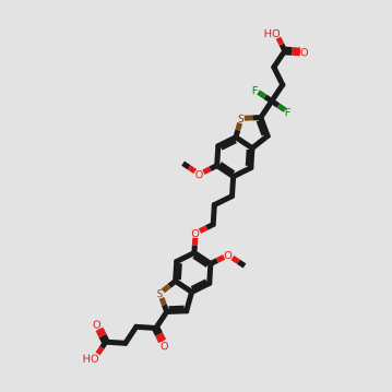 COc1cc2sc(C(F)(F)CCC(=O)O)cc2cc1CCCOc1cc2sc(C(=O)CCC(=O)O)cc2cc1OC